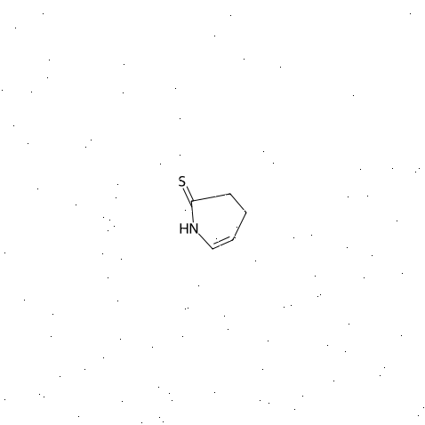 S=C1CCC=CN1